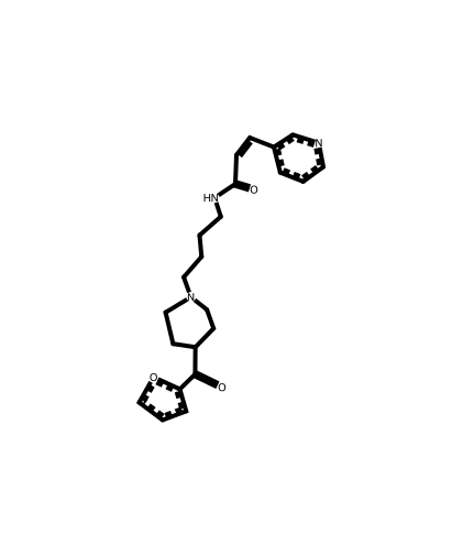 O=C(/C=C\c1cccnc1)NCCCCN1CCC(C(=O)c2ccco2)CC1